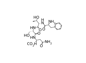 C[C@@H](O)[C@H](NC(=O)[C@@H](N)Cc1ccccc1)C(=O)N[C@@H](CO)C(=O)N[C@@H](CC(N)=O)C(=O)O